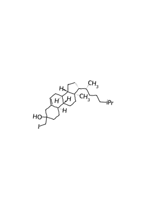 CC(C)CCC[C@@H](C)[C@H]1CC[C@H]2[C@@H]3CC=C4CC(O)(CI)CC[C@@H]4[C@H]3CC[C@]12C